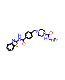 CCCNC(=O)N1CCN(Cc2ccc(C(=O)Nc3nc4ccccc4s3)cc2)CC1